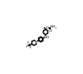 CC1(OC(N)=O)CCC(Nc2ccc(N3CCC(C(F)(F)F)CC3)cc2)CC1